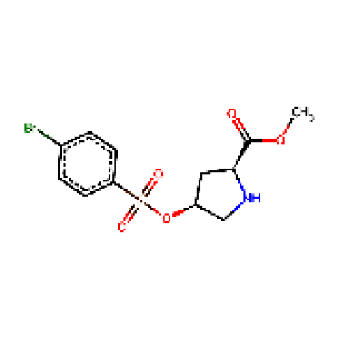 COC(=O)[C@@H]1C[C@H](OS(=O)(=O)c2ccc(Br)cc2)CN1